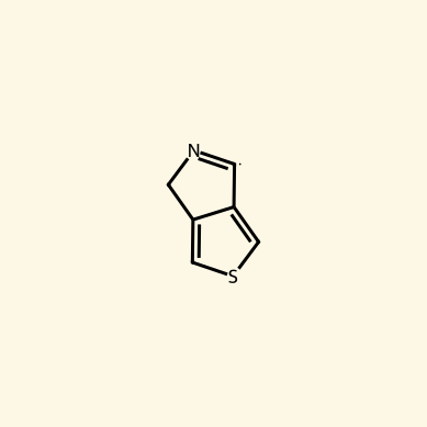 [C]1=NCc2cscc21